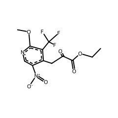 CCOC(=O)C(=O)Cc1c([N+](=O)[O-])cnc(OC)c1C(F)(F)F